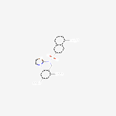 COc1ccc(CN(c2nccs2)S(=O)(=O)c2ccc3c(C(=O)O)cccc3c2)c(OC)c1